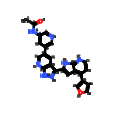 CCCC(=O)Nc1cncc(-c2cnc3[nH]nc(-c4cc5c(-c6ccoc6)ccnc5[nH]4)c3c2)c1